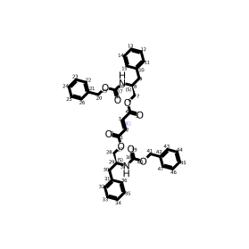 O=C(/C=C/C(=O)OC[C@H](Cc1ccccc1)NC(=O)OCc1ccccc1)OC[C@H](Cc1ccccc1)NC(=O)OCc1ccccc1